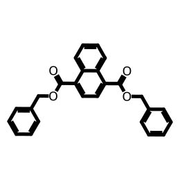 O=C(OCc1ccccc1)c1ccc(C(=O)OCc2ccccc2)c2ccccc12